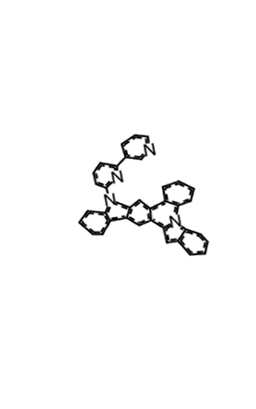 c1cncc(-c2cccc(-n3c4ccccc4c4cc5c(cc43)c3ccccc3n3c4ccccc4cc53)n2)c1